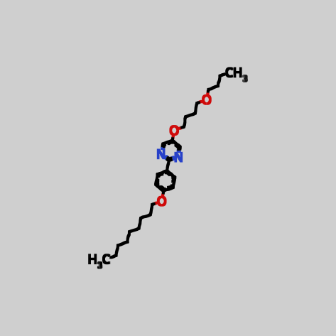 CCCCCCCCCOc1ccc(-c2ncc(OCCCCOCCCC)cn2)cc1